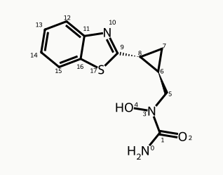 NC(=O)N(O)C[C@@H]1C[C@H]1c1nc2ccccc2s1